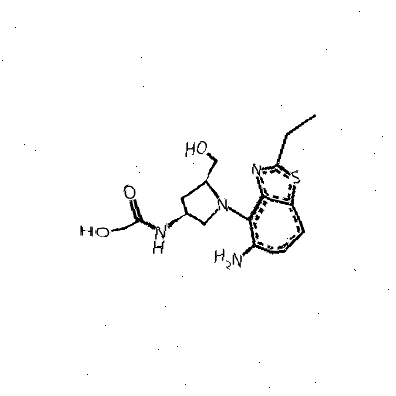 CCc1nc2c(N3C[C@@H](NC(=O)O)C[C@H]3CO)c(N)ccc2s1